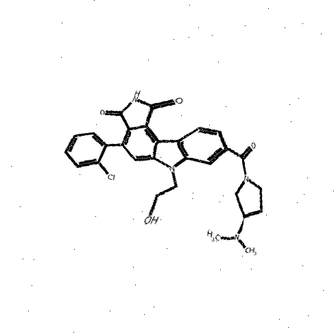 CN(C)[C@@H]1CCN(C(=O)c2ccc3c4c5c(c(-c6ccccc6Cl)cc4n(CCO)c3c2)C(=O)NC5=O)C1